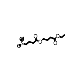 CCOC(=O)CCCOC(=O)CCC[SH](=O)=O